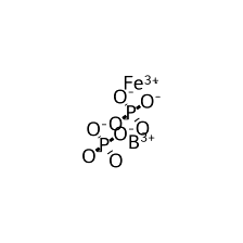 O=P([O-])([O-])[O-].O=P([O-])([O-])[O-].[B+3].[Fe+3]